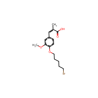 COc1cc(C=C(C)C(=O)O)ccc1OCCCCCBr